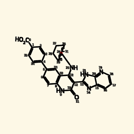 O=C(O)c1ccc(-c2ccc3[nH]c(=O)c(-c4nc5cccnc5[nH]4)c(NC4CC5CCC4CC5)c3c2)cc1